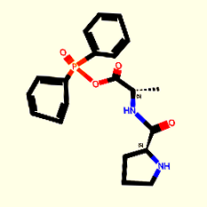 C[C@H](NC(=O)[C@@H]1CCCN1)C(=O)OP(=O)(c1ccccc1)c1ccccc1